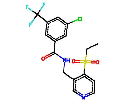 CCS(=O)(=O)c1ccncc1CNC(=O)c1cc(Cl)cc(C(F)(F)F)c1